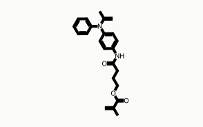 C=C(C)C(=O)OCCCC(=O)Nc1ccc(N(C(=C)C)c2ccccc2)cc1